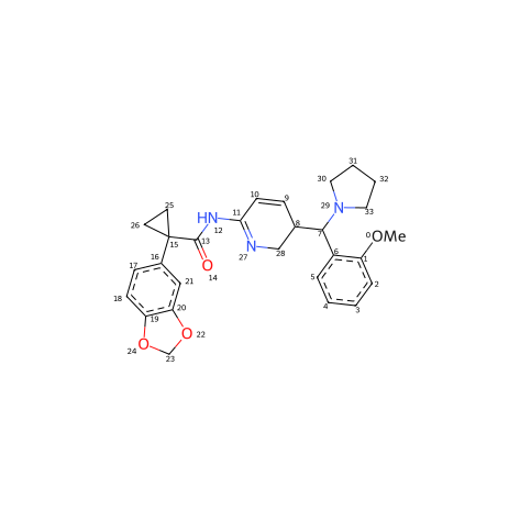 COc1ccccc1C(C1C=CC(NC(=O)C2(c3ccc4c(c3)OCO4)CC2)=NC1)N1CCCC1